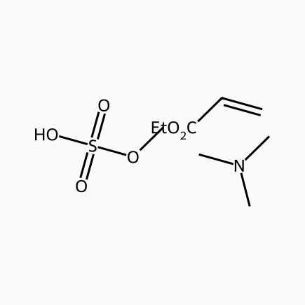 C=CC(=O)OCC.CN(C)C.COS(=O)(=O)O